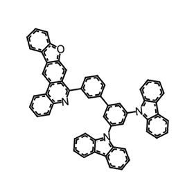 c1cc(-c2cc(-n3c4ccccc4c4ccccc43)cc(-n3c4ccccc4c4ccccc43)c2)cc(-c2nc3ccccc3c3cc4c(cc23)oc2ccccc24)c1